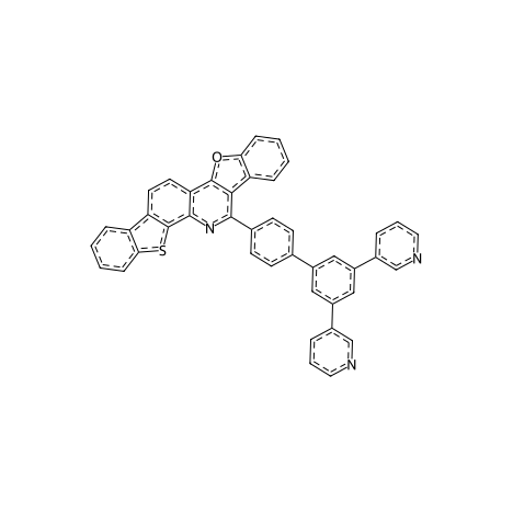 c1cncc(-c2cc(-c3ccc(-c4nc5c(ccc6c7ccccc7sc65)c5oc6ccccc6c45)cc3)cc(-c3cccnc3)c2)c1